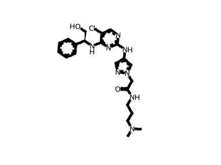 CN(C)CCCNC(=O)Cn1cc(Nc2ncc(Cl)c(N[C@H](CO)c3ccccc3)n2)cn1